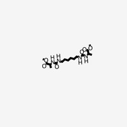 COC(=O)C(C)NC(=O)NCCCCCCNC(=O)NC(C)C(=O)OC